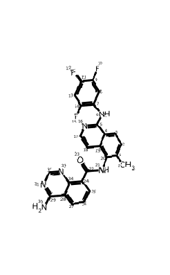 Cc1ccc2c(Nc3cc(F)c(F)cc3F)nccc2c1NC(=O)c1cccc2c(N)ncnc12